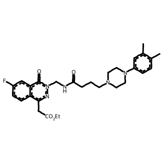 CCOC(=O)Cc1nn(CNC(=O)CCCN2CCN(c3ccc(C)c(C)c3)CC2)c(=O)c2cc(F)ccc12